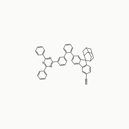 N#Cc1ccc2c(c1)-c1ccc(-c3ccccc3-c3cccc(-c4nc(-c5ccccc5)nc(-c5ccccc5)n4)c3)cc1C21C2CC3CC(C2)CC1C3